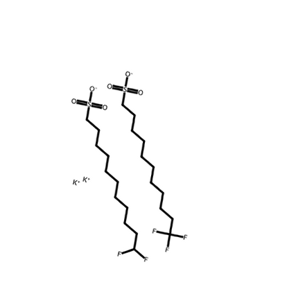 O=S(=O)([O-])CCCCCCCCCCC(F)(F)F.O=S(=O)([O-])CCCCCCCCCCC(F)F.[K+].[K+]